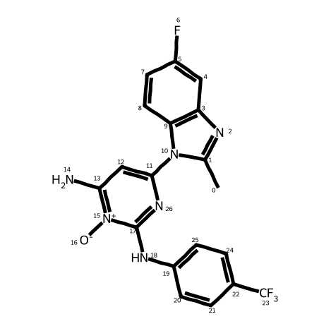 Cc1nc2cc(F)ccc2n1-c1cc(N)[n+]([O-])c(Nc2ccc(C(F)(F)F)cc2)n1